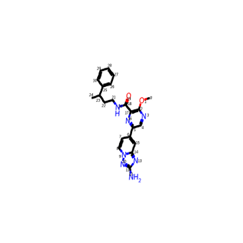 COc1ncc(-c2ccn3nc(N)nc3c2)nc1C(=O)NCCC(C)c1ccccc1